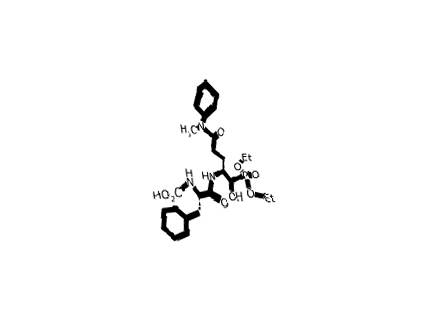 CCOP(=O)(OCC)C(O)[C@H](CCC(=O)N(C)c1ccccc1)NC(=O)[C@H](CC1CCCCC1)NC(=O)O